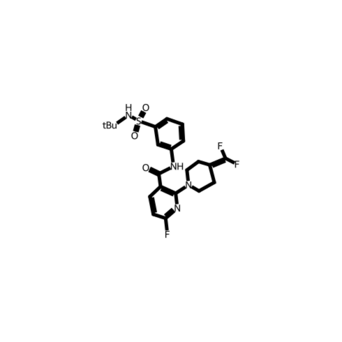 CC(C)(C)NS(=O)(=O)c1cccc(NC(=O)c2ccc(F)nc2N2CCC(=C(F)F)CC2)c1